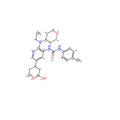 CCC(CC(=O)O)c1cnc(N(CC)C2CCOCC2)c(NC(=O)Nc2ccc(C)cc2)c1